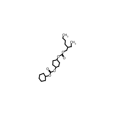 CCCCC(CC)COC(=O)OC1CCC(OC(=O)OC2CCCCC2)CC1